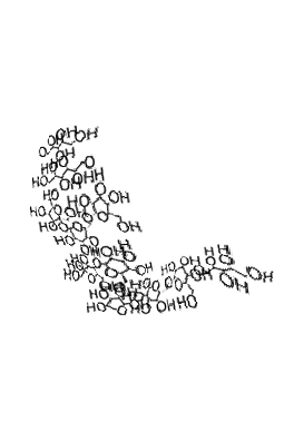 O=C[C@@H](O)[C@H](O)[C@H](O)CO.O=C[C@H](O)[C@@H](O)[C@@H](O)[C@H](O)CO.O=C[C@H](O)[C@H](O)[C@H](O)CO.OC1OC[C@@H](O)[C@H](O)[C@H]1O.OC[C@H]1O[C@@H](O[C@@H]2[C@@H](CO)O[C@](O)(CO)[C@H]2O)[C@H](O)[C@@H](O)[C@H]1O.OC[C@H]1O[C@H](OC[C@H]2O[C@@H](O)[C@H](O)[C@@H](O)[C@@H]2O)[C@H](O)[C@@H](O)[C@H]1O.OC[C@H]1O[C@H](OC[C@H]2O[C@H](O[C@]3(CO)O[C@H](CO)[C@@H](O)[C@@H]3O)[C@H](O)[C@@H](O)[C@@H]2O)[C@H](O)[C@@H](O)[C@H]1O